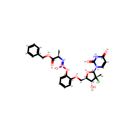 C[C@@H](/N=[P+](\[O-])Oc1ccccc1OC[C@H]1O[C@@H](n2ccc(=O)[nH]c2=O)[C@](C)(F)[C@@H]1O)C(=O)OCc1ccccc1